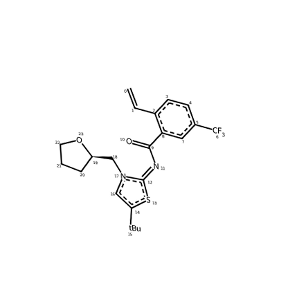 C=Cc1ccc(C(F)(F)F)cc1C(=O)N=c1sc(C(C)(C)C)cn1C[C@H]1CCCO1